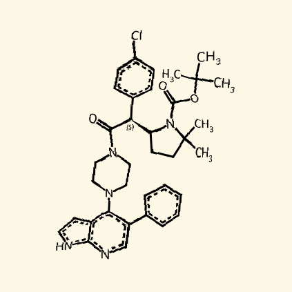 CC(C)(C)OC(=O)N1C([C@@H](C(=O)N2CCN(c3c(-c4ccccc4)cnc4[nH]ccc34)CC2)c2ccc(Cl)cc2)CCC1(C)C